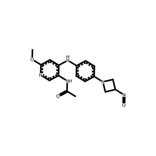 COc1cc(Nc2ccc(N3CC(N=O)C3)cc2)c(NC(C)=O)cn1